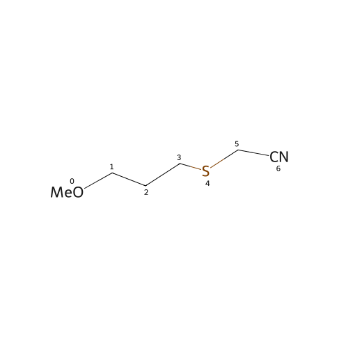 COCCCSCC#N